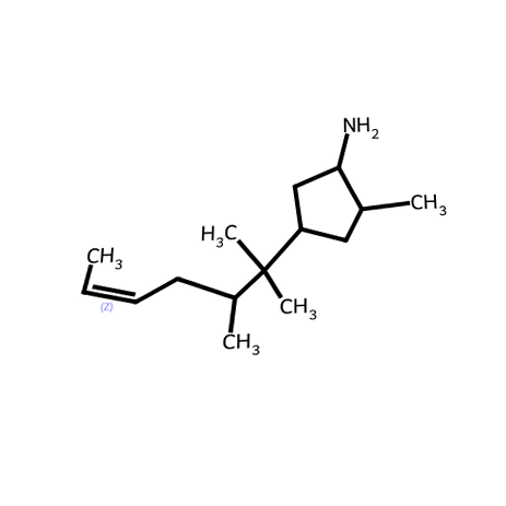 C/C=C\CC(C)C(C)(C)C1CC(C)C(N)C1